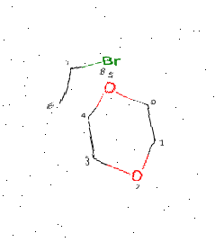 C1COCCO1.CCBr